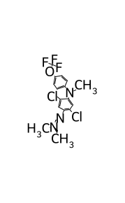 CCN(C)C=Nc1cc(Cl)c(N(CC)c2ccc(OC(F)(F)F)cc2)cc1Cl